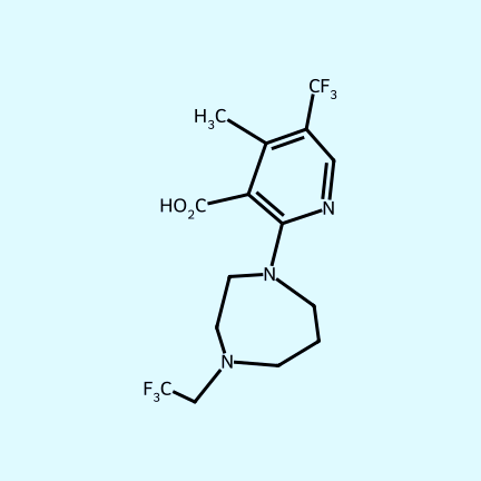 Cc1c(C(F)(F)F)cnc(N2CCCN(CC(F)(F)F)CC2)c1C(=O)O